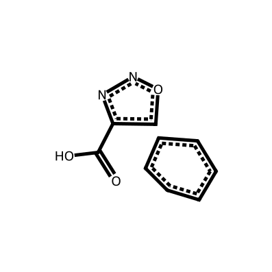 O=C(O)c1conn1.c1ccccc1